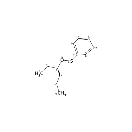 CCC[C@@H](CC)OSc1ccccc1